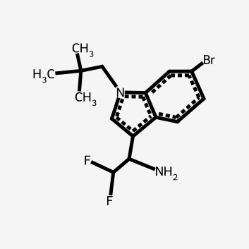 CC(C)(C)Cn1cc(C(N)C(F)F)c2ccc(Br)cc21